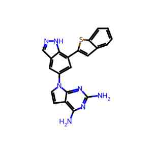 Nc1nc(N)c2ccn(-c3cc(-c4cc5ccccc5s4)c4[nH]ncc4c3)c2n1